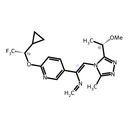 C=N/C(=C\n1c(C)nnc1[C@H](C)OC)c1ccc(O[C@@H](C2CC2)C(F)(F)F)nc1